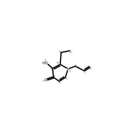 C=CCn1ccc(=O)c(O)c1CC